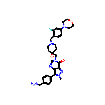 Cn1nc2c(=O)n(CC3(O)CCN(Cc4ccc(N5CCOCC5)cc4F)CC3)cnc2c1-c1ccc(CN)cc1